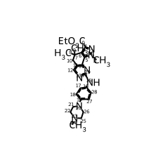 CCOC(=O)c1nn(C)c2c1C(C)(C)Cc1cnc(Nc3ccc(N4CCN(C)CC4)cc3)nc1-2